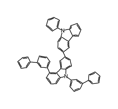 c1ccc(-c2cccc(-c3cccc4c3c3cc(-c5ccc6c(c5)c5ccccc5n6-c5ccccc5)ccc3n4-c3cccc(-c4ccccc4)c3)c2)cc1